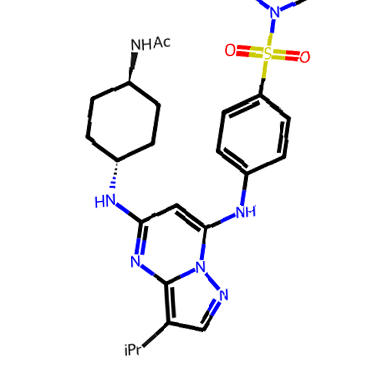 CC(=O)N[C@H]1CC[C@H](Nc2cc(Nc3ccc(S(=O)(=O)N(C)C)cc3)n3ncc(C(C)C)c3n2)CC1